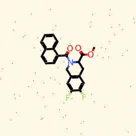 COC(=O)C1Cc2cc(F)c(F)cc2CN1C(=O)c1cccc2ccccc12